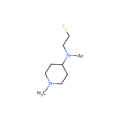 CC(=O)N(CCF)C1CCN(C)CC1